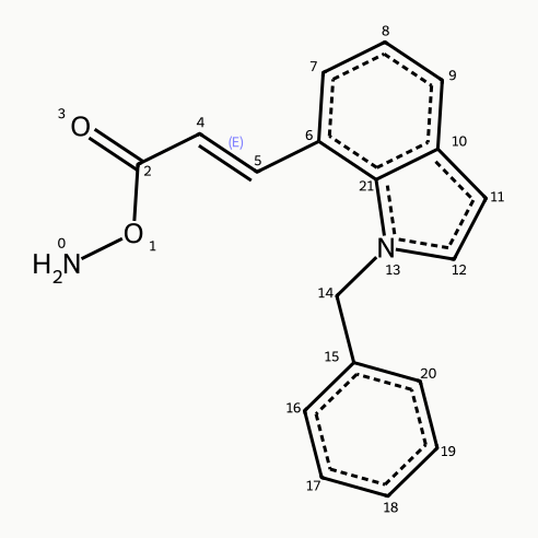 NOC(=O)/C=C/c1cccc2ccn(Cc3ccccc3)c12